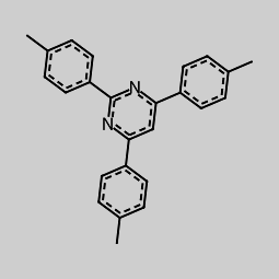 Cc1ccc(-c2cc(-c3ccc(C)cc3)nc(-c3ccc(C)cc3)n2)cc1